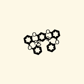 S=P12c3ccccc3Oc3cccc(c31)Oc1cc3c(cc12)P1(=S)c2ccccc2Oc2cccc(c21)O3